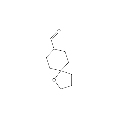 O=CC1CCC2(CCCO2)CC1